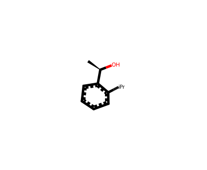 CC(C)c1ccccc1[C@@H](C)O